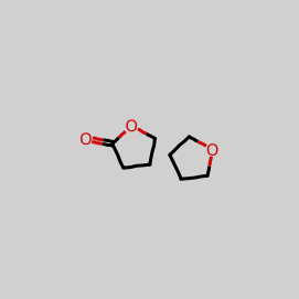 C1CCOC1.O=C1CCCO1